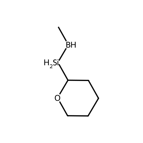 CB[SiH2]C1CCCCO1